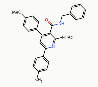 COc1ccc(-c2cc(-c3ccc(C)cc3)nc(NC(C)=O)c2C(=O)NCc2ccccc2)cc1